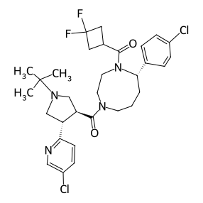 CC(C)(C)N1C[C@@H](C(=O)N2CCC[C@@H](c3ccc(Cl)cc3)N(C(=O)C3CC(F)(F)C3)CC2)[C@H](c2ccc(Cl)cn2)C1